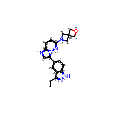 CCc1n[nH]c2ccc(-c3cnc4ccc(N5CC6(COC6)C5)nn34)cc12